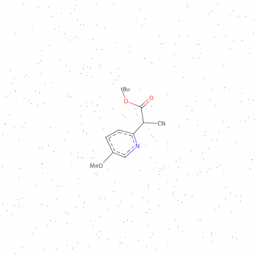 COc1ccc(C(C#N)C(=O)OC(C)(C)C)nc1